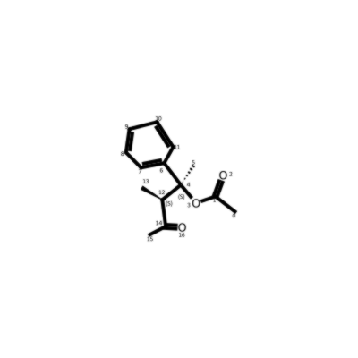 CC(=O)O[C@](C)(c1ccccc1)[C@H](C)C(C)=O